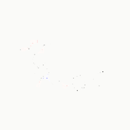 CCOC(Cc1ccn(CCOc2ccc(C3CCCCC3)cc2)c(=O)c1)C(=O)O